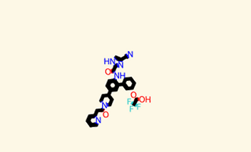 N#Cc1c[nH]c(C(=O)Nc2ccc(C3CCN(C(=O)Cc4ccccn4)CC3)cc2C2=CCCCC2)n1.O=C(O)C(F)(F)F